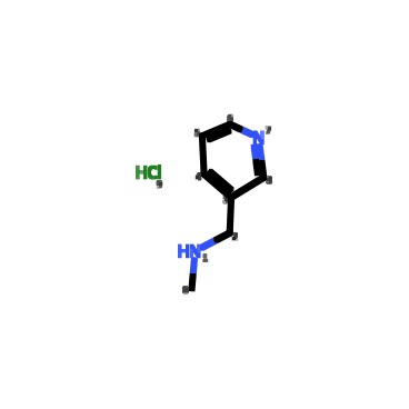 CNCc1cccnc1.Cl